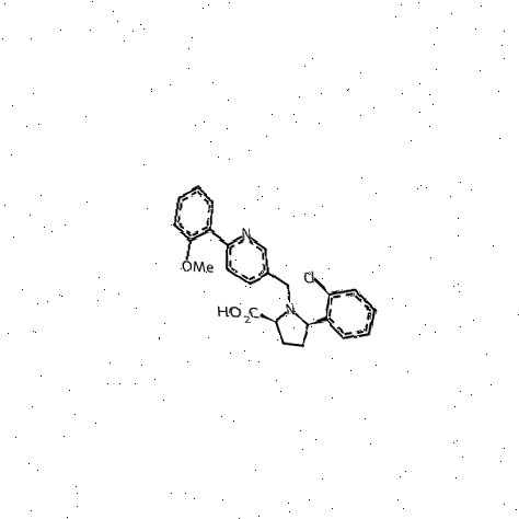 COc1ccccc1-c1ccc(CN2[C@@H](c3ccccc3Cl)CC[C@H]2C(=O)O)cn1